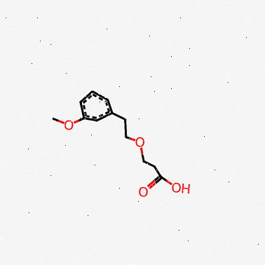 COc1cccc(CCOCCC(=O)O)c1